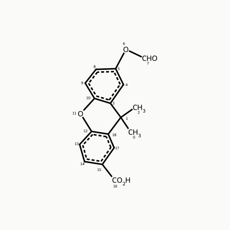 CC1(C)c2cc(OC=O)ccc2Oc2ccc(C(=O)O)cc21